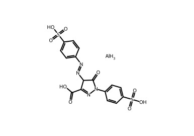 O=C(O)C1=NN(c2ccc(S(=O)(=O)O)cc2)C(=O)C1N=Nc1ccc(S(=O)(=O)O)cc1.[AlH3]